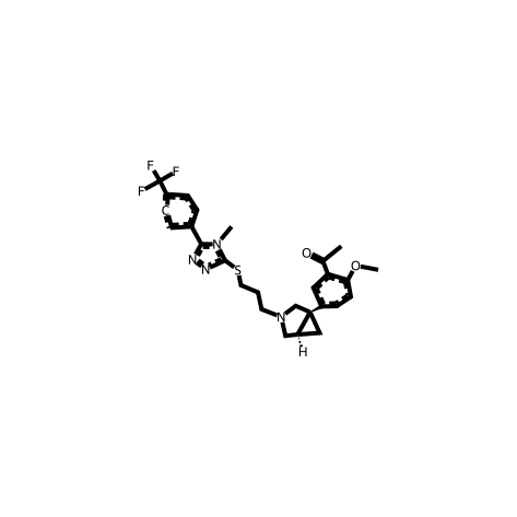 COc1ccc([C@@]23C[C@H]2CN(CCCSc2nnc(-c4ccc(C(F)(F)F)cc4)n2C)C3)cc1C(C)=O